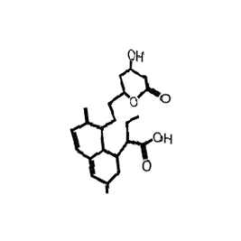 CCC(C(=O)O)C1CC(C)C=C2C=CC(C)C(CCC3CC(O)CC(=O)O3)C21